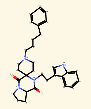 O=C1C2CCCN2C(=O)C2(CCN(CCCCc3ccccc3)CC2)N1CCc1c[nH]c2ccccc12